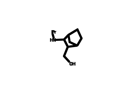 CC(C)NC1C2CCC(C2)C1CO